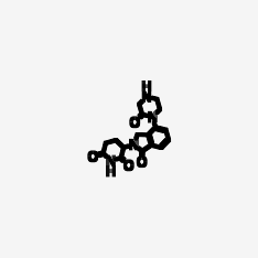 O=C1CCC(N2Cc3c(cccc3N3CCNCC3=O)C2=O)C(=O)N1